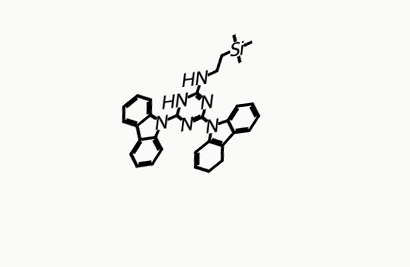 C[Si](C)(C)CCNC1=NC(n2c3c(c4ccccc42)CCC=C3)=NC(n2c3ccccc3c3ccccc32)N1